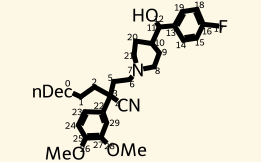 CCCCCCCCCCCCC(C#N)(CCN1CCC(C(O)c2ccc(F)cc2)CC1)c1ccc(OC)c(OC)c1